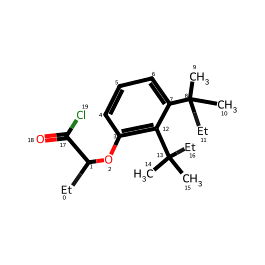 CCC(Oc1cccc(C(C)(C)CC)c1C(C)(C)CC)C(=O)Cl